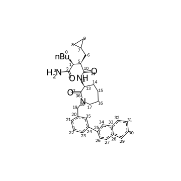 CCCC[C@H](C(N)=O)[C@@H](CC1CC1)C(=O)N[C@H]1CCCCN(Cc2cccc(-c3ccc4ccccc4c3)c2)C1=O